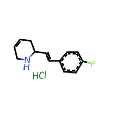 Cl.Fc1ccc(C=CC2CC=CCN2)cc1